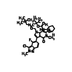 Cn1nc2ccc(-c3cn(COCC[Si](C)(C)C)c4nc(N5[C@H]6CC[C@@H]5[C@H](NC(=O)OC(C)(C)C)C6)n(C)c(=O)c34)c(F)c2c1Cl